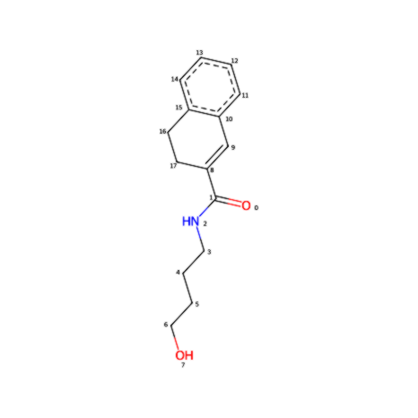 O=C(NCCCCO)C1=Cc2ccccc2CC1